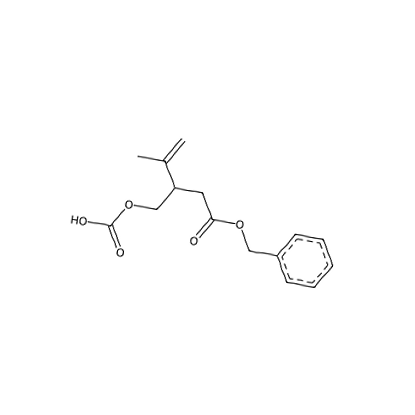 C=C(C)C(COC(=O)O)CC(=O)OCc1ccccc1